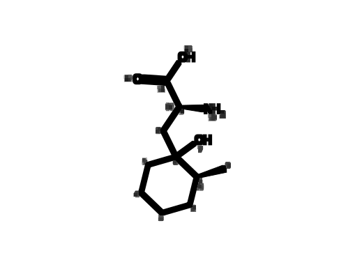 C[C@H]1CCCCC1(O)C[C@H](N)C(=O)O